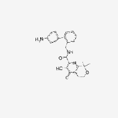 CC1(C)OCCn2c1nc(C(=O)NCc1ccccc1-c1ccc(N)cc1)c(O)c2=O